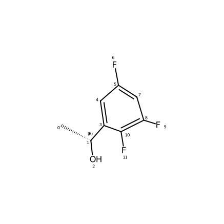 C[C@@H](O)c1cc(F)cc(F)c1F